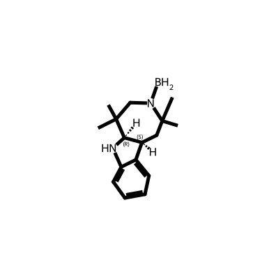 BN1CC(C)(C)[C@@H]2Nc3ccccc3[C@@H]2CC1(C)C